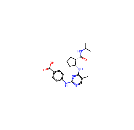 Cc1cnc(Nc2ccc(C(=O)O)cc2)nc1N[C@@H]1CCC[C@@H]1C(=O)NC(C)C